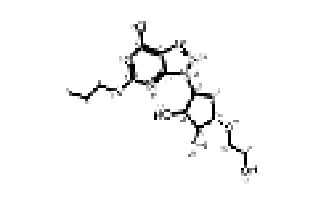 CCCSc1nc(Cl)c2nnn(C3C[C@H](OCCO)C(O)C3O)c2n1